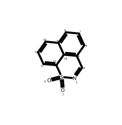 O=S1(=O)N=Cc2cccc3cccc1c23